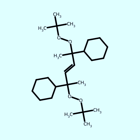 CC(C)(C)OOC(C)(C=CC(C)(OOC(C)(C)C)C1CCCCC1)C1CCCCC1